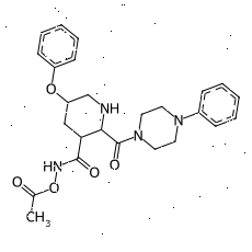 CC(=O)ONC(=O)C1CC(Oc2ccccc2)CNC1C(=O)N1CCN(c2ccccc2)CC1